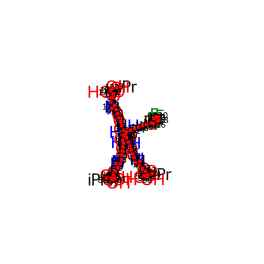 CC(C)C(=O)O[C@@H]1C[C@H](OCCCc2cn(CCOCCOCCNC(=O)CCC(CCC(=O)NCCOCCOCCn3cc(CCCO[C@H]4C[C@@H](OC(=O)C(C)C)[C@@H](O)[C@@H](CO)O4)nn3)(CCC(=O)NCCOCCOCCn3cc(CCCO[C@H]4C[C@@H](OC(=O)C(C)C)[C@@H](O)[C@@H](CO)O4)nn3)NC(=O)CCCCCCCCCCC(=O)Oc3c(F)c(F)c(F)c(F)c3F)nn2)O[C@H](CO)[C@@H]1O